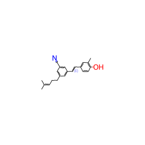 CC(C)=CCCc1cc(C#N)cc(/C=C/c2ccc(O)c(C)c2)c1